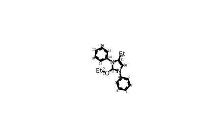 CCOC1N(c2ccccc2)C=C(CC)N1c1ccccc1